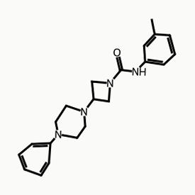 Cc1cccc(NC(=O)N2CC(N3CCN(c4ccccc4)CC3)C2)c1